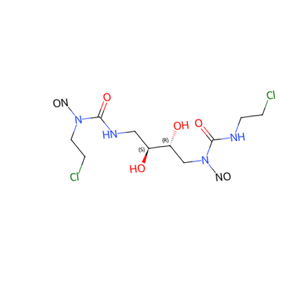 O=NN(CCCl)C(=O)NC[C@H](O)[C@H](O)CN(N=O)C(=O)NCCCl